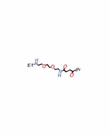 CCNCCOCCOCCNC(=O)CCC(=O)C(C)C